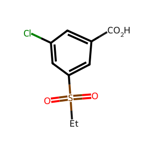 CCS(=O)(=O)c1cc(Cl)cc(C(=O)O)c1